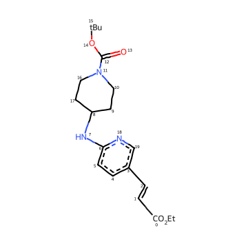 CCOC(=O)C=Cc1ccc(NC2CCN(C(=O)OC(C)(C)C)CC2)nc1